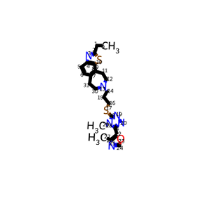 CCc1nc2ccc3c(c2s1)CCN(CCCSc1nnc(-c2ocnc2C)n1C)CC3